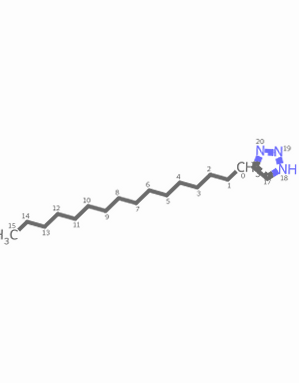 CCCCCCCCCCCCCCCC.c1c[nH]nn1